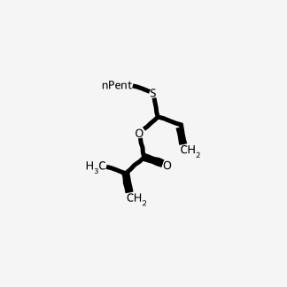 C=CC(OC(=O)C(=C)C)SCCCCC